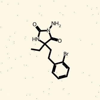 CCC1(CCc2ccccc2Br)NC(=O)N(N)C1=O